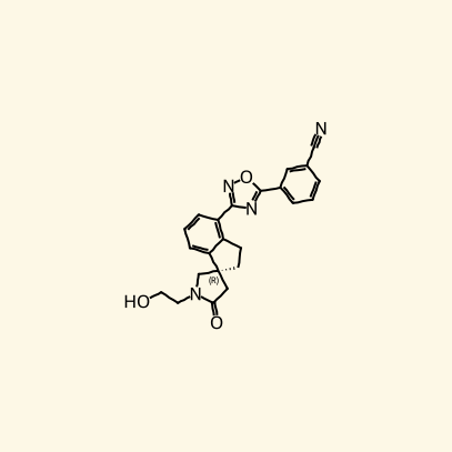 N#Cc1cccc(-c2nc(-c3cccc4c3CC[C@@]43CC(=O)N(CCO)C3)no2)c1